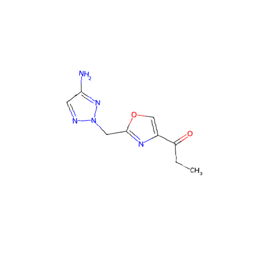 CCC(=O)c1coc(Cn2ncc(N)n2)n1